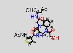 CC(=O)C[C@@H](C=O)NC(=O)CN1C(=O)[C@@H](NC(=O)c2ccsc2NC(C)=O)CN(C(=O)CO)c2ccccc21